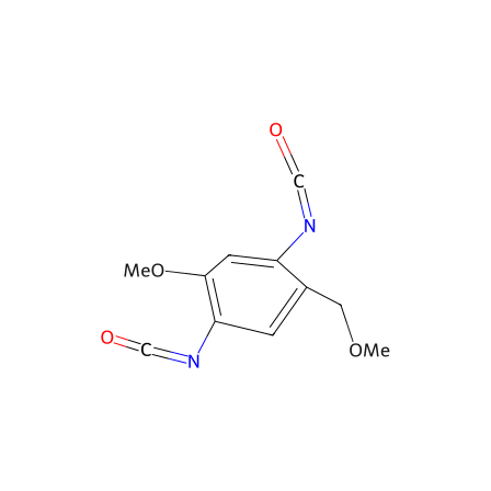 COCc1cc(N=C=O)c(OC)cc1N=C=O